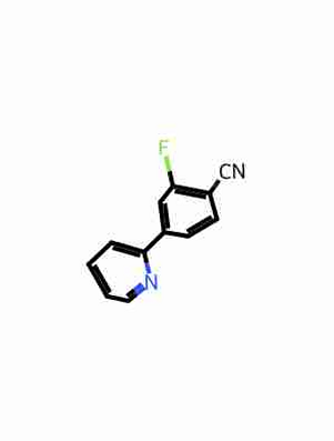 N#Cc1ccc(-c2ccccn2)cc1F